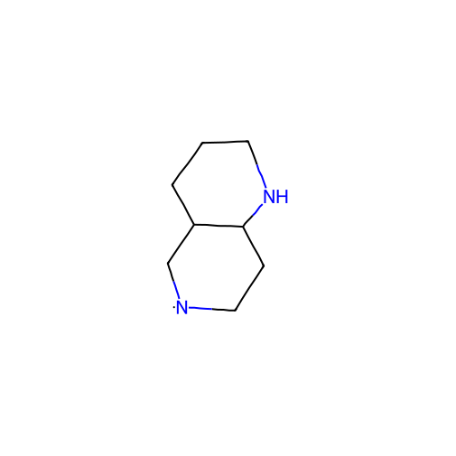 C1CNC2CC[N]CC2C1